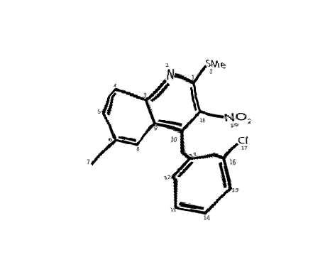 CSc1nc2ccc(C)cc2c(-c2ccccc2Cl)c1[N+](=O)[O-]